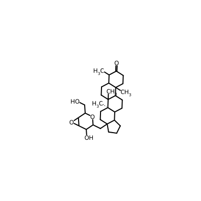 CC1C(=O)CCC2(C)C1CCC1(C)C2CCC2C3CCCC3(CC3OC(CO)C4OC4C3O)CC[C@]21C